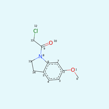 COc1ccc2c(c1)N(C(=O)CCl)CC2